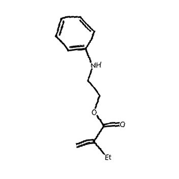 C=C(CC)C(=O)OCCNc1ccccc1